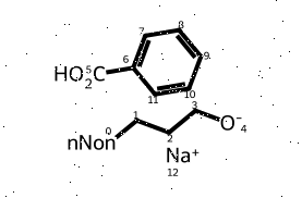 CCCCCCCCCCCC[O-].O=C(O)c1ccccc1.[Na+]